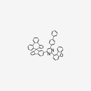 c1ccc(-c2ccc(-c3cc(-c4ccc5c(c4)C4(c6ccccc6-c6ccccc6-c6ccccc64)c4ccccc4-5)nc(-c4cccc5oc6ccccc6c45)n3)cc2)cc1